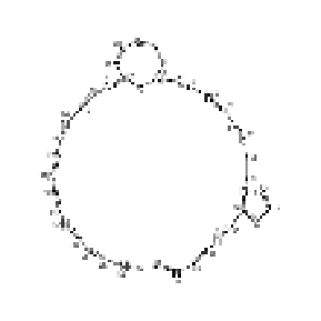 C1=CCN2C=CN=CC=NC=Cn3cccc3C=NC=CN=CC=NC=CC=NC=CN=CC=NC=CN=C(C=C1)C2